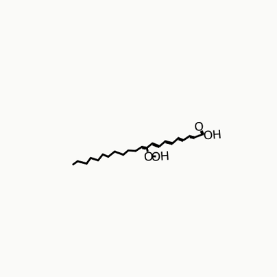 CCCCCCCCCCCC=C(C=CC=CC=CC=CC(=O)O)OO